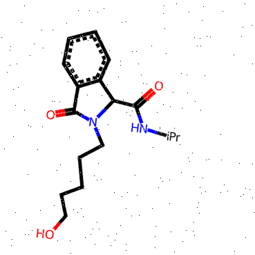 CC(C)NC(=O)C1c2ccccc2C(=O)N1CCCCCO